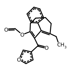 CC/C1=C(c2ccccc2)\C(C(=O)c2ccoc2)=C(\OC=O)CCCC1